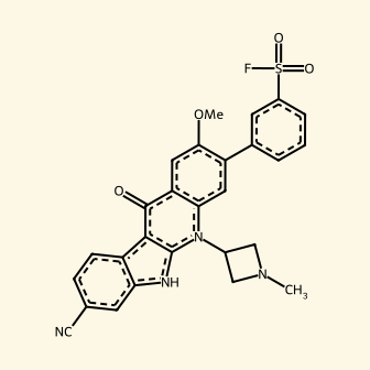 COc1cc2c(=O)c3c4ccc(C#N)cc4[nH]c3n(C3CN(C)C3)c2cc1-c1cccc(S(=O)(=O)F)c1